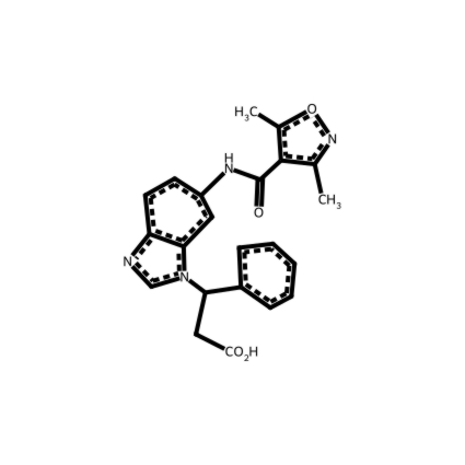 Cc1noc(C)c1C(=O)Nc1ccc2ncn(C(CC(=O)O)c3ccccc3)c2c1